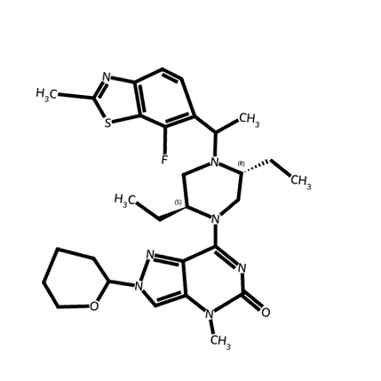 CC[C@H]1CN(C(C)c2ccc3nc(C)sc3c2F)[C@H](CC)CN1c1nc(=O)n(C)c2cn(C3CCCCO3)nc12